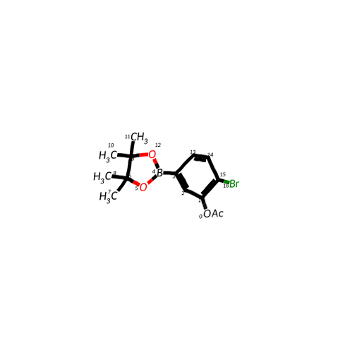 CC(=O)Oc1cc(B2OC(C)(C)C(C)(C)O2)ccc1Br